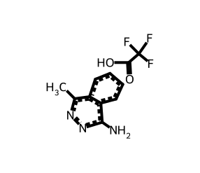 Cc1nnc(N)c2ccccc12.O=C(O)C(F)(F)F